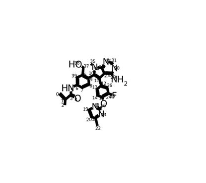 C=C(C)C(=O)Nc1ccc(-c2c(-c3ccc(Oc4nccc(C)n4)c(F)c3)c3c(N)ncnc3n2C)c(CO)c1